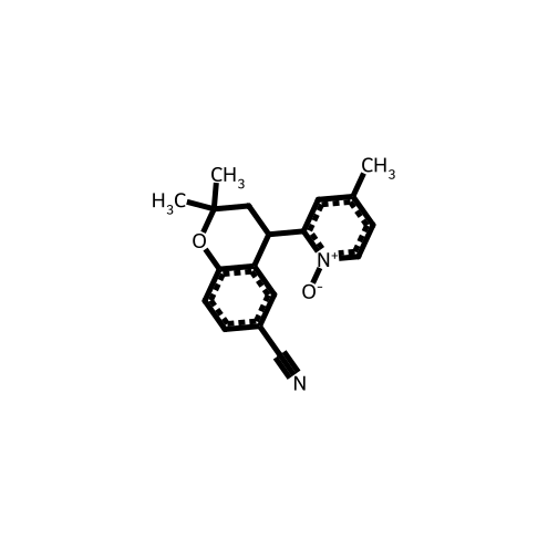 Cc1cc[n+]([O-])c(C2CC(C)(C)Oc3ccc(C#N)cc32)c1